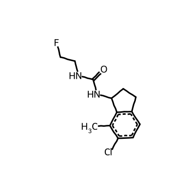 Cc1c(Cl)ccc2c1C(NC(=O)NCCF)CC2